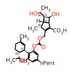 C=C(C)[C@@H]1CCC(C)=C[C@H]1c1c(O)cc(CCCCC)cc1OC(=O)OCC1=C(C(=O)O)C2C(O)[C@H]([C@@H](C)O)[C@H]2[C@H]1C